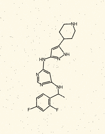 CC(Nc1cc(Nc2cc(C3CCNCC3)[nH]n2)ncn1)c1ccc(F)cc1F